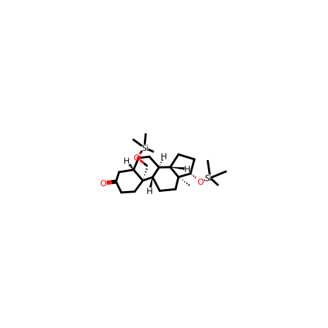 C[C@]12CC[C@H]3[C@@H](CC[C@H]4CC(=O)CC[C@@]43CO[Si](C)(C)C)[C@@H]1CC[C@@H]2O[Si](C)(C)C